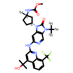 [2H]C([2H])([2H])n1c(=O)n([C@@H]2CC[C@]([2H])(NC(=O)OC)C2)c2cc(Nc3cc(C(C)(C)O)c4cccc(C(F)(F)F)c4n3)ncc21